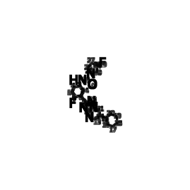 O=C(Nc1ccc(F)c(-c2nc3ncc(C4=CCCCC4)cn3n2)c1)N1CC[C@@H](F)C1